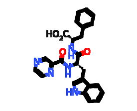 O=C(N[C@@H](Cc1c[nH]c2ccccc12)C(=O)N[C@@H](Cc1ccccc1)C(=O)O)c1cnccn1